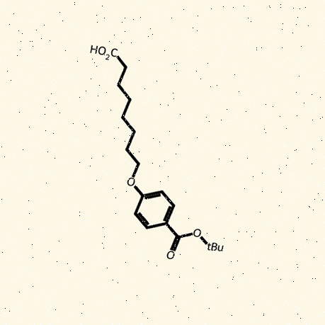 CC(C)(C)OC(=O)c1ccc(OCCCCCCCC(=O)O)cc1